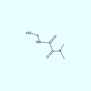 CN(C)C(=O)C(=O)NSO